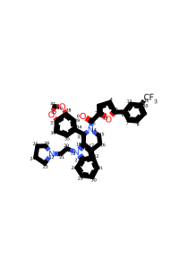 O=C(c1ccc(-c2cccc(C(F)(F)F)c2)o1)N1CCc2c(n(CCN3CCCC3)c3ccccc23)C1c1ccc2c(c1)OCO2